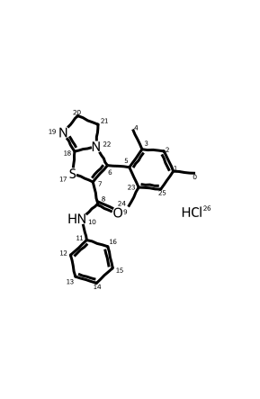 Cc1cc(C)c(C2=C(C(=O)Nc3ccccc3)SC3=NCCN32)c(C)c1.Cl